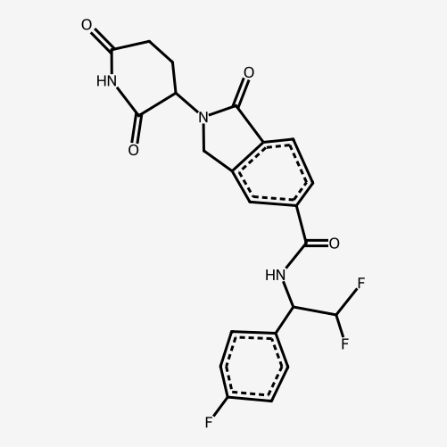 O=C1CCC(N2Cc3cc(C(=O)NC(c4ccc(F)cc4)C(F)F)ccc3C2=O)C(=O)N1